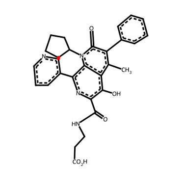 Cc1c(-c2ccccc2)c(=O)n(C2CCCC2)c2c(-c3cccnc3)nc(C(=O)NCCC(=O)O)c(O)c12